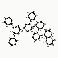 c1ccc(-c2nc(-c3ccccc3)nc(-c3ccc(-c4ccccc4-c4ccccc4-c4cccc5ccccc45)c(-c4ccccc4)c3)n2)cc1